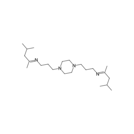 C/C(CC(C)C)=N\CCCN1CCN(CCC/N=C(\C)CC(C)C)CC1